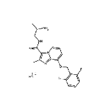 Cc1nc2c(OCc3c(F)cccc3F)cccn2c1C(=O)NCC(C)N.Cl.Cl